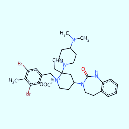 Cc1c(Br)cc(C[N@+]2(C(=O)[O-])CCC(N3CCc4ccccc4NC3=O)CC2(CC=O)N2CCC(N(C)C)CC2)cc1Br